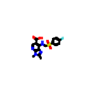 Cc1nc2c(NCS(=O)(=O)c3ccc(F)cc3)c(C(=O)O)cnc2n1C